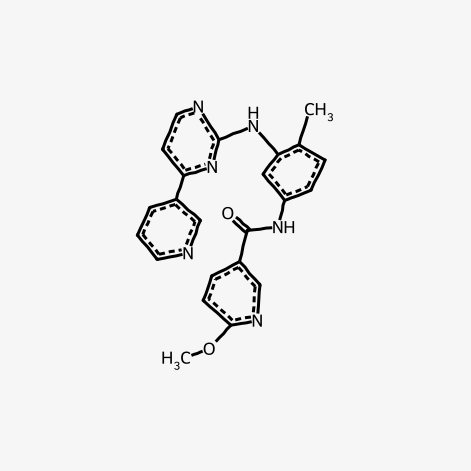 COc1ccc(C(=O)Nc2ccc(C)c(Nc3nccc(-c4cccnc4)n3)c2)cn1